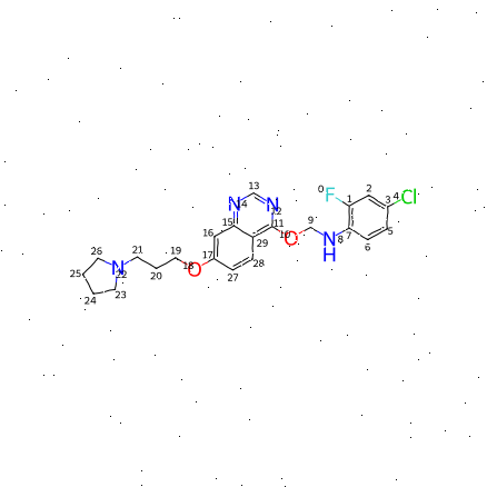 Fc1cc(Cl)ccc1NCOc1ncnc2cc(OCCCN3CCCC3)ccc12